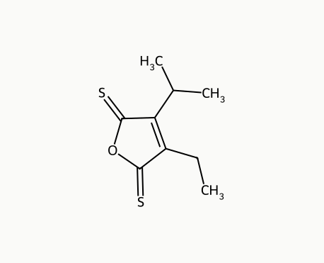 CCC1=C(C(C)C)C(=S)OC1=S